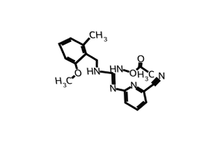 COc1cccc(C)c1CNC(=Nc1cccc(C#N)n1)NOC(C)=O